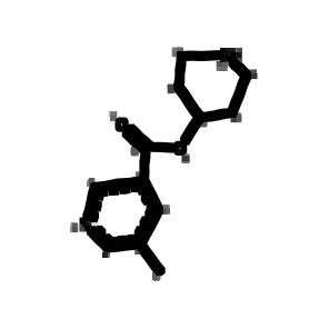 Cc1cncc(C(=O)OC2CCNCC2)c1